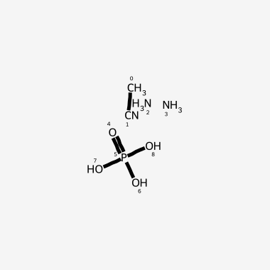 CC#N.N.N.O=P(O)(O)O